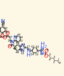 CCCCCCOC(=O)/N=C(\N)c1ccc(NCc2nc3cc(C(=O)N(CCC(=O)Oc4cc(C#N)ccc4OC)c4ccccn4)ccc3n2C)cc1